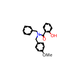 COc1ccc(CN(Cc2ccccc2)C(=O)c2ccccc2O)cc1